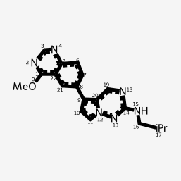 COc1ncnc2ccc(-c3ccn4nc(NCC(C)C)ncc34)cc12